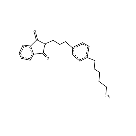 CCCCCCc1ccc(CCCN2C(=O)c3ccccc3C2=O)cc1